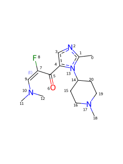 Cc1ncc(C(=O)/C(F)=C\N(C)C)n1C1CCN(C)CC1